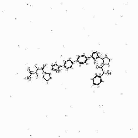 C[C@@H](C(=O)N1CCC[C@H]1c1ncc(-c2ccc(-c3ccc(-c4cnc(C5CCCN5C(=O)C(O)c5ccccc5)[nH]4)cc3)cc2)[nH]1)N(C)C(=O)O